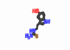 NC(=S)NCCc1c[nH]c2ccc(O)cc12